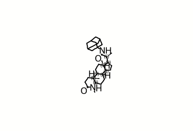 C[C@H](C(=O)NC12CC3CC(CC(C3)C1)C2)[C@H]1CC[C@H]2[C@@H]3CC[C@H]4N(C)C(=O)CC[C@]4(C)[C@H]3CC[C@]12C